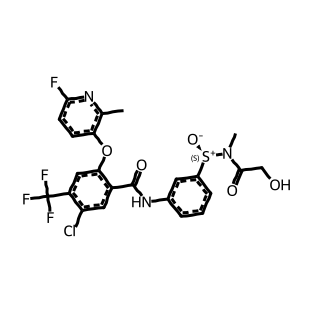 Cc1nc(F)ccc1Oc1cc(C(F)(F)F)c(Cl)cc1C(=O)Nc1cccc([S@@+]([O-])N(C)C(=O)CO)c1